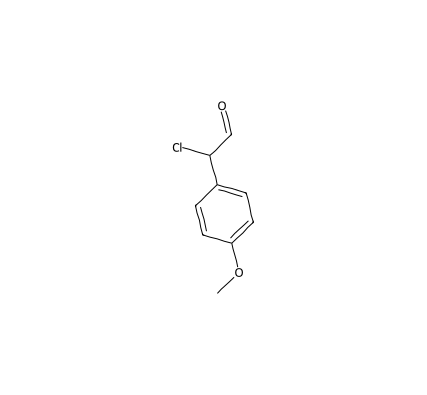 COc1ccc(C(Cl)C=O)cc1